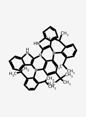 CC(C)c1cccc(C(C)C)c1B1c2cc(C(C)(C)C)cc3c2N(c2[nH]c4ccccc4c21)c1[nH]c2ccccc2c1B3c1c(C(C)C)cccc1C(C)C